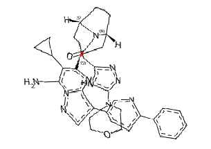 Nc1c(C2CC2)c([C@@H]2C[C@H]3CC[C@@H](C2)N3C(=O)c2nnc(N3CCOCC3)[nH]2)nc2c(-c3ccc(-c4ccccc4)nc3)cnn12